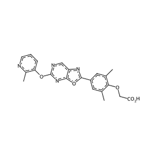 Cc1cc(-c2nc3cnc(Oc4cccnc4C)nc3o2)cc(C)c1OCC(=O)O